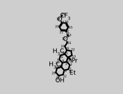 CC[C@H]1CC2C(CCC3(C)C(CCOSc4ccc(OC(F)(F)F)cc4)CCC23C(C)C)C2(C)CC[C@@H](O)CC12